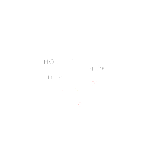 CCCCCC(C(=O)O)(C(C)(C)C(=O)O)S(=O)(=O)[O-].[Na+]